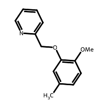 COc1ccc(C)cc1OCc1ccccn1